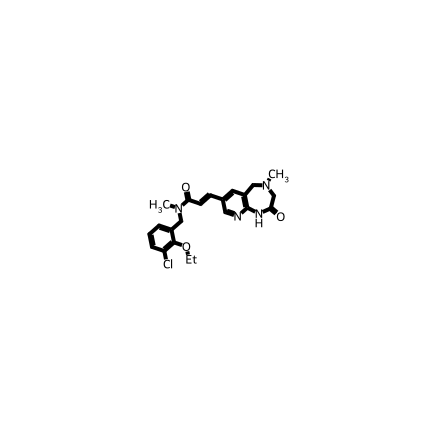 CCOc1c(Cl)cccc1CN(C)C(=O)/C=C/c1cnc2c(c1)CN(C)CC(=O)N2